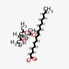 CC(C)[O-].CC(C)[O-].CC(C)[O-].CCCCCCCCC=CCCCCCCCC(=O)[O-].[Ti+4]